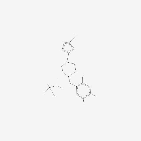 CC(C)(C)[S@+]([O-])N[C@@H](c1cc(Cl)c(Cl)cc1O)C1CCN(c2nnc(N)s2)CC1